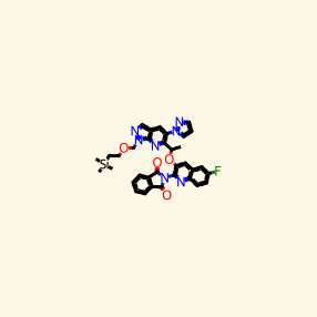 CC(Oc1cc2cc(F)ccc2nc1N1C(=O)c2ccccc2C1=O)c1nc2c(cnn2COCC[Si](C)(C)C)cc1-n1cccn1